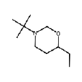 CCC1CCN(C(C)(C)C)CO1